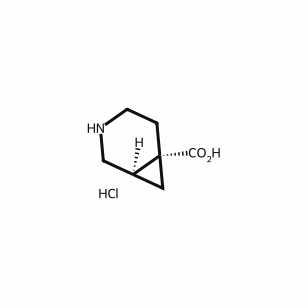 Cl.O=C(O)[C@@]12CCNC[C@@H]1C2